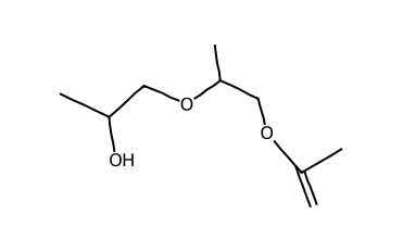 C=C(C)OCC(C)OCC(C)O